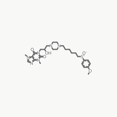 COc1ccc([S+]([O-])CCCCCCN2CCN(CC(O)Cn3c(=O)c4c(ncn4C)n(C)c3=O)CC2)cc1